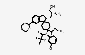 COC(=O)C1(N(C(=O)C(F)(F)F)c2cccc(Cl)c2)CCC2(CC1)c1cc(C3OCCCO3)ccc1C[C@H]2C[C@@H](C)CO